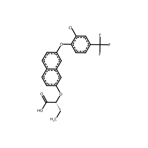 CC[C@@H](Oc1ccc2ccc(Oc3ccc(C(F)(F)F)cc3Cl)cc2c1)C(=O)O